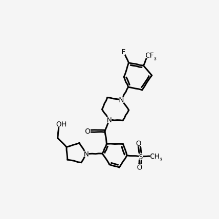 CS(=O)(=O)c1ccc(N2CCC(CO)C2)c(C(=O)N2CCN(c3ccc(C(F)(F)F)c(F)c3)CC2)c1